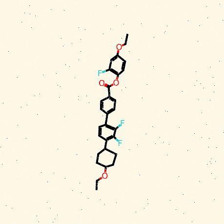 CCOc1ccc(OC(=O)c2ccc(-c3ccc(C4CCC(OCC)CC4)c(F)c3F)cc2)c(F)c1